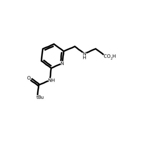 CC(C)(C)C(=O)Nc1cccc(CNCC(=O)O)n1